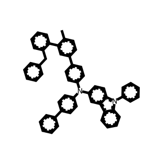 Cc1ccc(-c2ccc(N(c3ccc(-c4ccccc4)cc3)c3ccc4c(c3)c3ccccc3n4-c3ccccc3)cc2)cc1-c1ccccc1Cc1ccccc1